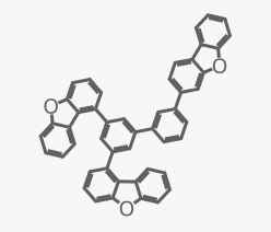 c1cc(-c2cc(-c3cccc4oc5ccccc5c34)cc(-c3cccc4oc5ccccc5c34)c2)cc(-c2ccc3c(c2)oc2ccccc23)c1